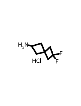 Cl.NC1CC2(C1)CC(F)(F)C2